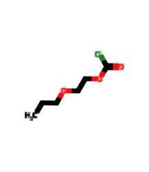 CCCOCCOC(=O)Cl